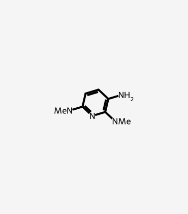 CNc1ccc(N)c(NC)n1